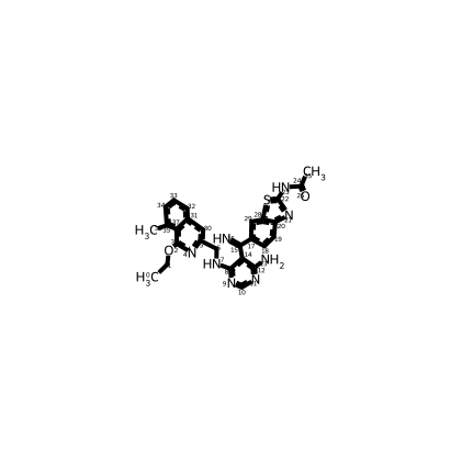 CCOc1nc(CNc2ncnc(N)c2C(=N)c2ccc3nc(NC(C)=O)sc3c2)cc2cccc(C)c12